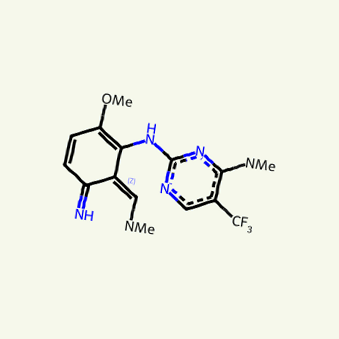 CN/C=C1\C(=N)C=CC(OC)=C1Nc1ncc(C(F)(F)F)c(NC)n1